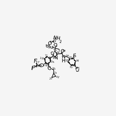 CC(C)(C)C(C)(OC(N)=O)c1oc(-c2ccc(OC(F)F)c(OCC3CC3)c2)nc1C(=O)NCc1ccc(Cl)cc1F